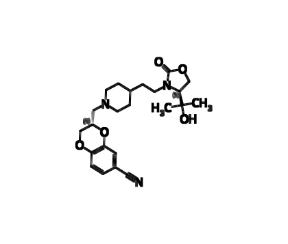 CC(C)(O)[C@@H]1COC(=O)N1CCC1CCN(C[C@H]2COc3ccc(C#N)cc3O2)CC1